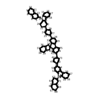 C1=c2c(n(-c3ccc4ccccc4c3)c3ccccc23)=CCC1c1ccc(-c2ccc3c(c2)C2(Cc4ccccc4C2)c2cc(-c4ccc(-c5ccc6c(c5)c5ccccc5n6-c5ccc6ccccc6c5)cc4)ccc2-3)cc1